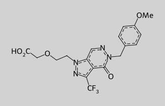 COc1ccc(Cn2ncc3c(c(C(F)(F)F)nn3CCOCC(=O)O)c2=O)cc1